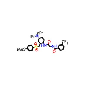 CCCN(C(C)C)[C@@H]1CCC(NC(=O)CNC(=O)c2cccc(C(F)(F)F)c2)C(CS(=O)(=O)c2ccc(SC)cc2)C1